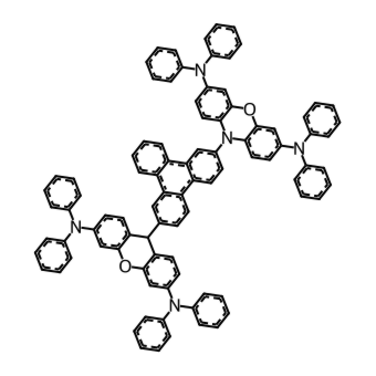 c1ccc(N(c2ccccc2)c2ccc3c(c2)Oc2cc(N(c4ccccc4)c4ccccc4)ccc2C3c2ccc3c4ccc(N5c6ccc(N(c7ccccc7)c7ccccc7)cc6Oc6cc(N(c7ccccc7)c7ccccc7)ccc65)cc4c4ccccc4c3c2)cc1